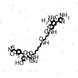 Cc1ncsc1-c1ccc(C(=O)[C@@H]2C[C@@H](O)CN2C(=O)[C@@H](NC(=O)CCCCCCNC(=O)CCCC(=O)Nc2cc3cc(-c4cncc(N)c4C)c(F)c(N)c3cn2)C(C)(C)C)cc1